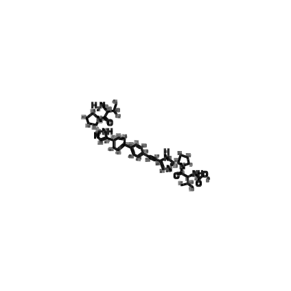 COC(=O)N[C@H](C(=O)N1CCC[C@H]1c1ncc(C#Cc2ccc(-c3ccc(-c4cnc([C@@H]5CCCN5C(=O)[C@@H](N)C(C)C)[nH]4)cc3)cc2)[nH]1)C(C)C